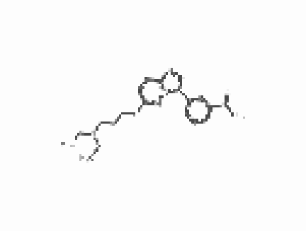 CCN(CC)CCCOc1ccc2ncc(-c3cccc(C(C)=O)c3)n2n1